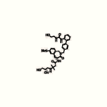 CSc1ccc2c(c1)S[C@@H](NC(=O)CC(C)(C)NC[C@H](O)CO)C(=O)N(Cc1ccc(-c3ccccc3NC(=O)NCCO)cc1)C2